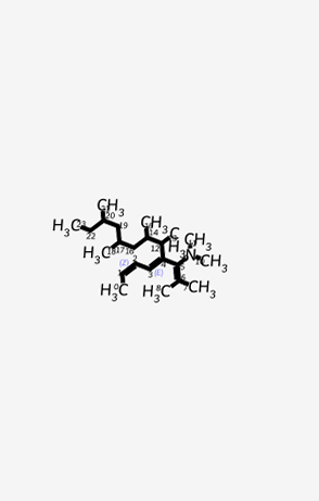 C/C=C\C=C(\C(=C(C)C)N(C)C)C(C)C(C)CC(C)CC(C)CC